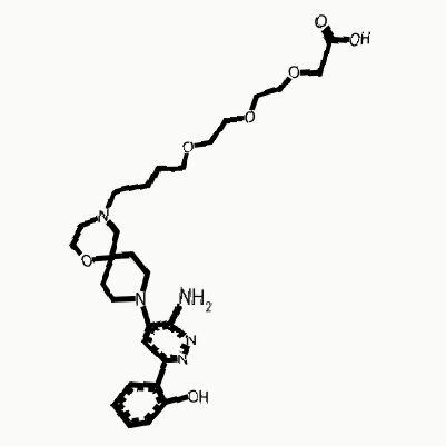 Nc1nnc(-c2ccccc2O)cc1N1CCC2(CC1)CN(CCCCOCCOCCOCC(=O)O)CCO2